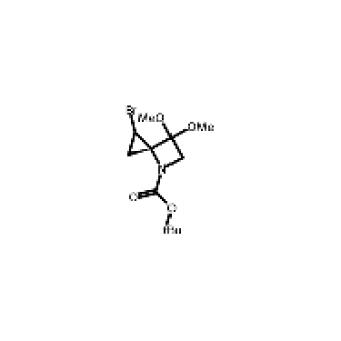 COC1(OC)CN(C(=O)OC(C)(C)C)[C@@]12CC2Br